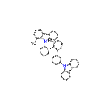 N#Cc1cccc(-c2cccc(-n3c4ccccc4c4ccccc43)c2)c1-c1ccccc1-n1c2ccccc2c2cccc(C#N)c21